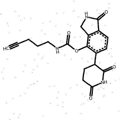 C#CCCCNC(=O)Oc1c(C2CCC(=O)NC2=O)ccc2c1CNC2=O